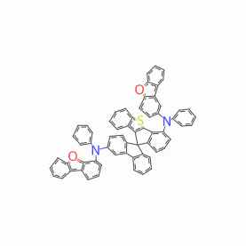 c1ccc(N(c2ccc3oc4ccccc4c3c2)c2cccc3c2-c2sc4ccccc4c2C32c3ccccc3-c3cc(N(c4ccccc4)c4cccc5c4oc4ccccc45)ccc32)cc1